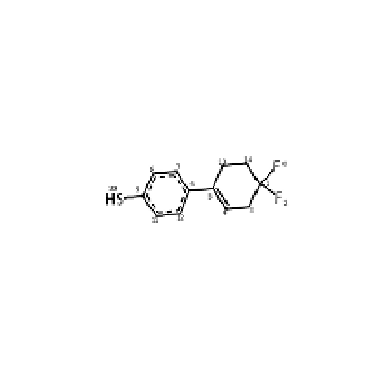 FC1(F)CC=C(c2ccc(S)cc2)CC1